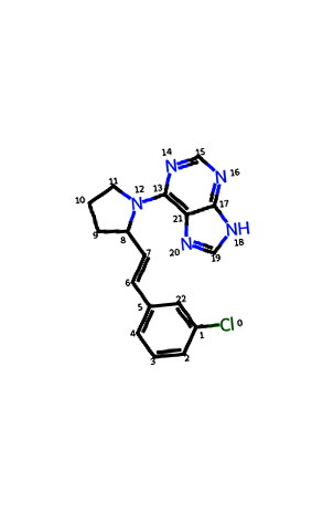 Clc1cccc(C=CC2CCCN2c2ncnc3[nH]cnc23)c1